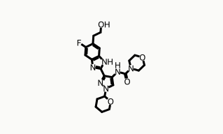 O=C(Nc1cn(C2CCCCO2)nc1-c1nc2cc(F)c(CCO)cc2[nH]1)N1CCOCC1